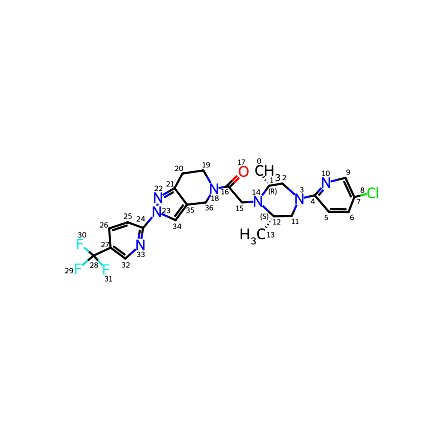 C[C@@H]1CN(c2ccc(Cl)cn2)C[C@H](C)N1CC(=O)N1CCc2nn(-c3ccc(C(F)(F)F)cn3)cc2C1